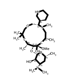 CO[C@]1(C)C[C@@H](C)CN(C)[C@@H]([C@@H]2CCCNC2)COCC(C)(C)C[C@@H](C)[C@H]1O[C@@H]1O[C@H](C)C[C@H](N(C)C)[C@H]1O